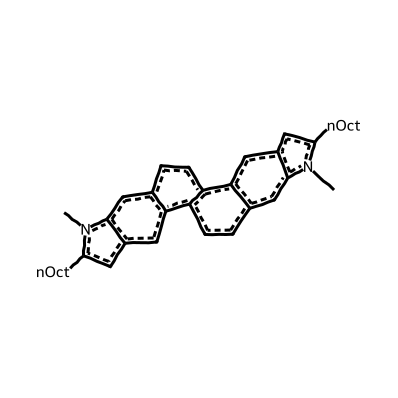 CCCCCCCCc1cc2cc3c(ccc4c5cc6cc(CCCCCCCC)n(C)c6cc5ccc34)cc2n1C